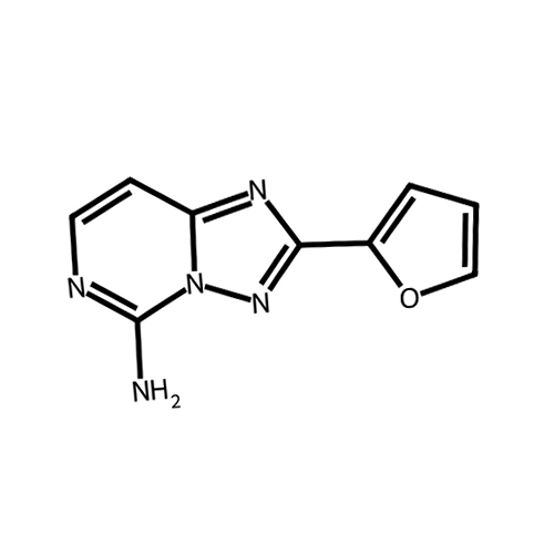 Nc1nccc2nc(-c3ccco3)nn12